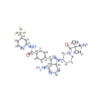 CC(C)(C#N)C(=O)N1CCCC(n2nc(-c3ccc(C(=O)Nc4cc(C(F)(F)F)ccn4)cc3)c3c(N)ncnc32)C1